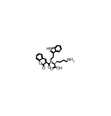 NCCCC[C@@H](C(=O)O)N(CCc1c[nH]c2ccccc12)C(=O)c1cc2ccccc2oc1=O